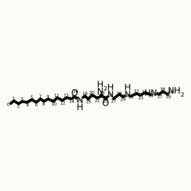 CCCCCCCCCCCCCCCC(=O)NCCCCC(N)C(=O)NCCCNCCCCCNCCCN